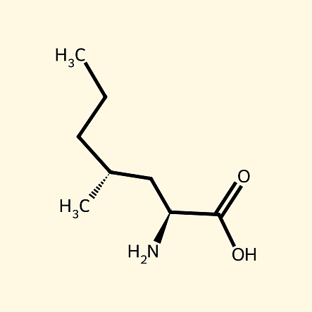 CCC[C@@H](C)C[C@H](N)C(=O)O